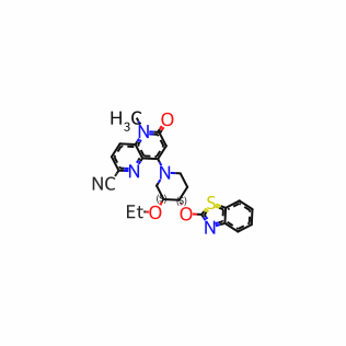 CCO[C@H]1CN(c2cc(=O)n(C)c3ccc(C#N)nc23)CC[C@@H]1Oc1nc2ccccc2s1